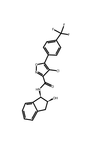 O=C(N[C@@H]1c2ccccc2C[C@@H]1O)c1noc(-c2ccc(C(F)(F)F)cc2)c1Cl